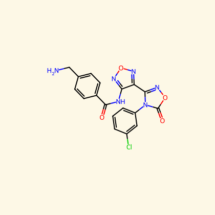 NCc1ccc(C(=O)Nc2nonc2-c2noc(=O)n2-c2cccc(Cl)c2)cc1